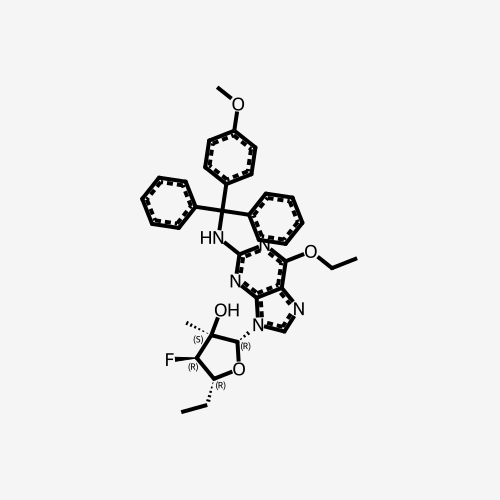 CCOc1nc(NC(c2ccccc2)(c2ccccc2)c2ccc(OC)cc2)nc2c1ncn2[C@@H]1O[C@H](CC)[C@@H](F)[C@@]1(C)O